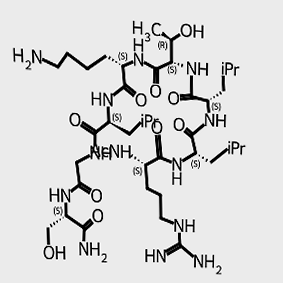 CC(=O)N[C@@H](CCCNC(=N)N)C(=O)N[C@@H](CC(C)C)C(=O)N[C@@H](CC(C)C)C(=O)N[C@H](C(=O)N[C@@H](CCCCN)C(=O)N[C@@H](CC(C)C)C(=O)NCC(=O)N[C@@H](CO)C(N)=O)[C@@H](C)O